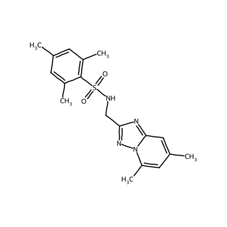 Cc1cc(C)c(S(=O)(=O)NCc2nc3cc(C)cc(C)n3n2)c(C)c1